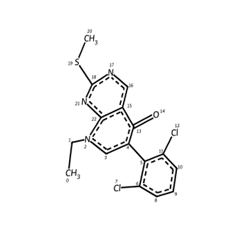 CCn1cc(-c2c(Cl)cccc2Cl)c(=O)c2cnc(SC)nc21